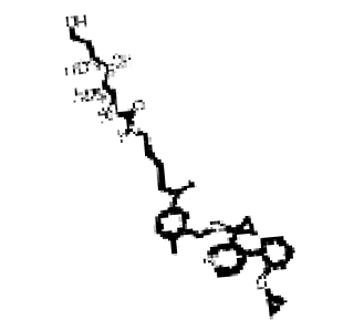 Cc1ccc(C(C)CCCCNC(=O)NC[C@H](O)[C@@H](O)[C@H](O)CCO)cc1COC1(c2cnccc2-c2ccccc2OC2CC2)CC1